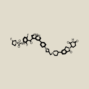 O=C1CCC(N2Cc3cc(C4CCN(CC5CN(c6ccc(-c7cnc8[nH]cc(C(=O)c9c(F)ccc(NS(=O)(=O)N%10CC[C@@H](F)C%10)c9F)c8c7)cc6)C5)CC4)ccc3C2=O)C(=O)N1